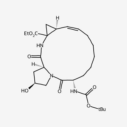 CCOC(=O)C12C[C@H]1/C=C\CCCCC[C@H](NC(=O)OC(C)(C)C)C(=O)N1C[C@@H](O)C[C@H]1C(=O)N2